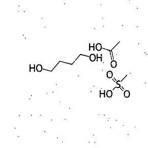 CC(=O)O.CS(=O)(=O)O.OCCCCO